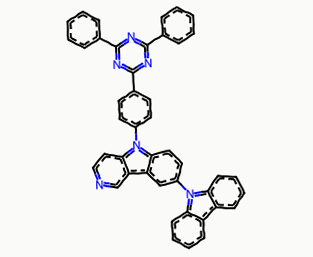 c1ccc(-c2nc(-c3ccccc3)nc(-c3ccc(-n4c5ccncc5c5cc(-n6c7ccccc7c7ccccc76)ccc54)cc3)n2)cc1